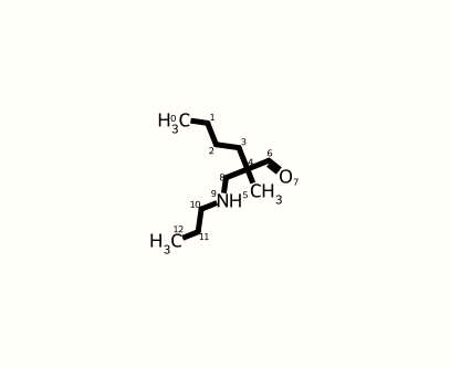 CCCCC(C)(C=O)CNCCC